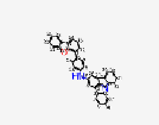 C1=CC2c3cc(Nc4ccc(-c5cccc6c5oc5ccccc56)cc4)cc4c5ccccc5n(c34)C2C=C1